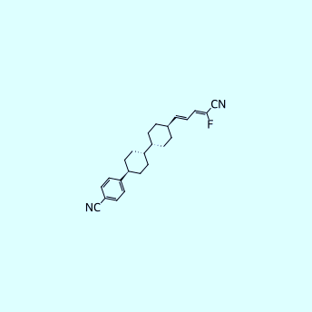 N#CC(F)=CC=C[C@H]1CC[C@H]([C@H]2CC[C@H](c3ccc(C#N)cc3)CC2)CC1